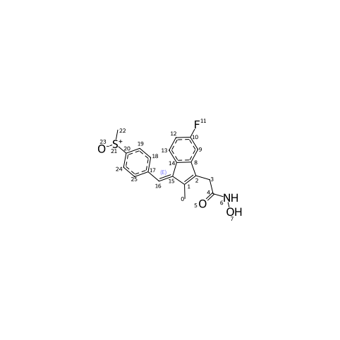 CC1=C(CC(=O)NO)c2cc(F)ccc2/C1=C\c1ccc([S+](C)[O-])cc1